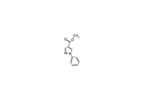 COC(=O)c1cnn(-c2ccccc2)c1